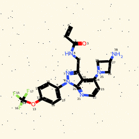 C=CC(=O)NCc1nn(-c2ccc(OC(F)(F)F)cc2)c2nccc(N3CC(N)C3)c12